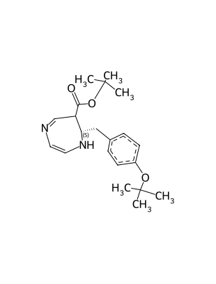 CC(C)(C)OC(=O)C1C=NC=CN[C@H]1Cc1ccc(OC(C)(C)C)cc1